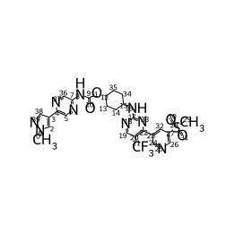 Cn1cc(-c2cnc(NC(=O)O[C@H]3CC[C@H](Nc4ncc(C(F)(F)F)c(-c5cncc(S(C)(=O)=O)c5)n4)CC3)cn2)cn1